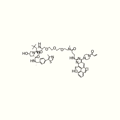 C=CC(=O)N1CCN(c2nc(NCCC(=O)N(C)CCOCCOCCOCC(O)N[C@H](C(=O)N3C[C@H](O)C[C@H]3C(=O)N[C@@H](C)c3ccc(-c4scnc4C)cc3)C(C)(C)C)nc3c(F)c(-c4c(O)cccc4F)c(Cl)cc23)CC1